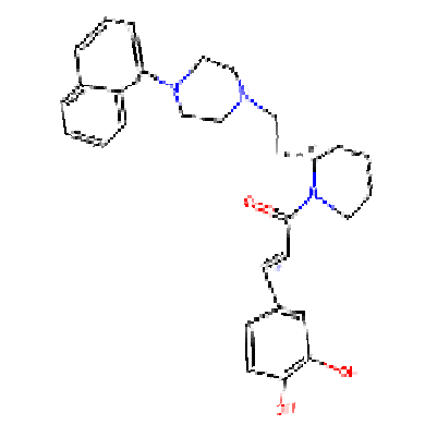 O=C(/C=C/c1ccc(O)c(O)c1)N1CCCC[C@H]1CCN1CCN(c2cccc3ccccc23)CC1